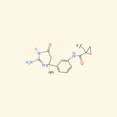 CCC[C@@]1(c2cccc(NC(=O)C3(C(F)(F)F)CC3)c2)CC(=O)N(C)C(N)=N1